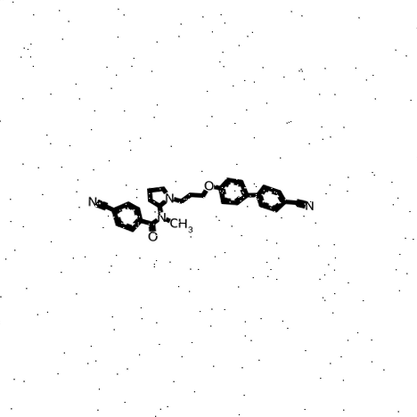 CN(C(=O)c1ccc(C#N)cc1)C1CCCN1CCCOc1ccc(-c2ccc(C#N)cc2)cc1